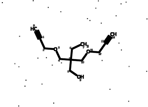 C#CCOCC(CC)(CO)COCC#C